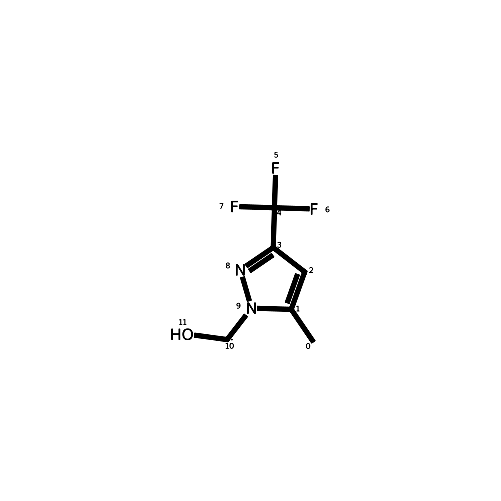 Cc1cc(C(F)(F)F)nn1[CH]O